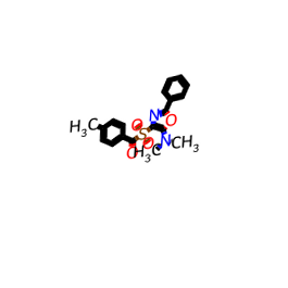 Cc1ccc(C(=O)S(=O)(=O)c2nc(-c3ccccc3)oc2N(C)C)cc1